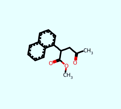 COC(=O)C(CC(C)=O)c1cccc2ccccc12